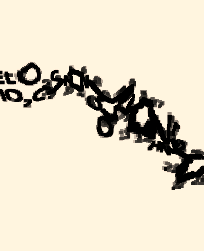 CCOC(=O)C(CC(=O)O)N1CCN(CC2CN(c3ccc(C4=NOC(c5cccnc5)N4)cc3)C(=O)O2)CC1